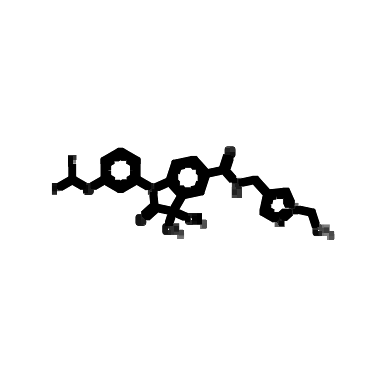 CCn1cc(CNC(=O)c2ccc3c(c2)C(C)(C)C(=O)N3c2cccc(OC(F)F)c2)cn1